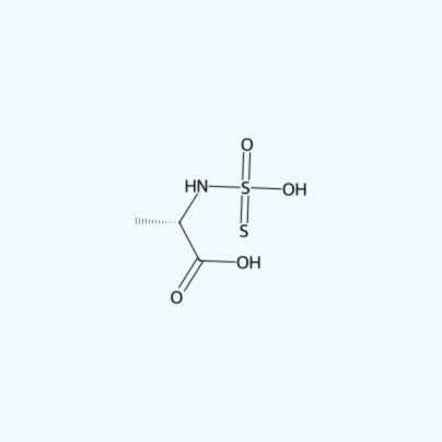 C[C@H](NS(=O)(O)=S)C(=O)O